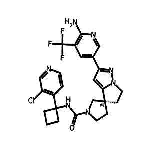 Nc1ncc(-c2cc3n(n2)CC[C@@]32CCN(C(=O)NC3(c4ccncc4Cl)CCC3)C2)cc1C(F)(F)F